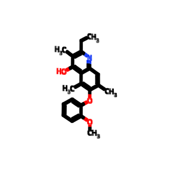 CCc1nc2cc(C)c(Oc3ccccc3OC)c(C)c2c(O)c1C